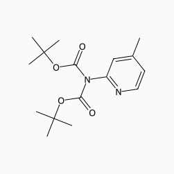 Cc1ccnc(N(C(=O)OC(C)(C)C)C(=O)OC(C)(C)C)c1